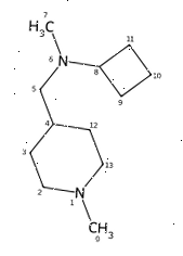 CN1CCC(CN(C)C2CCC2)CC1